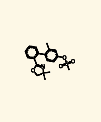 Cc1cc(OS(C)(=O)=O)ccc1-c1ccccc1C1=NC(C)(C)CO1